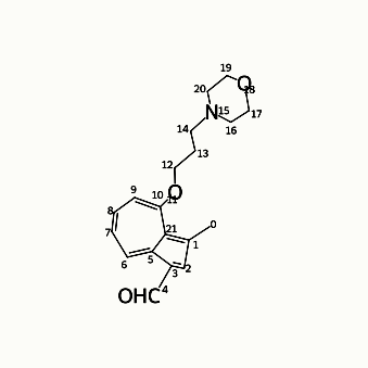 Cc1cc(C=O)c2ccccc(OCCCN3CCOCC3)c1-2